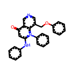 O=c1cc(Nc2ccccc2)n(-c2ccccc2)c2c(COc3ccccc3)cncc12